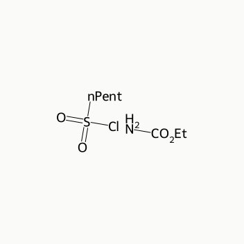 CCCCCS(=O)(=O)Cl.CCOC(N)=O